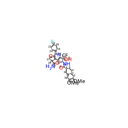 COc1cc2ccc(C(=O)NC[C@](O)(c3cc4c(c(-c5ccc(F)cc5)n3)OC[C@]4(C)C(N)=O)C(F)(F)F)cc2cc1OC